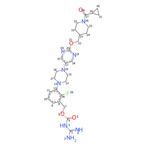 N=C(N)NC(=O)OCc1cccc(N2CCN(c3cnc(OCC4CCN(C(=O)C5CC5)CC4)nc3)CC2)c1F